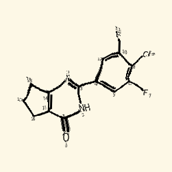 O=c1[nH]c(-c2cc(F)c(Cl)c(F)c2)nc2c1CCC2